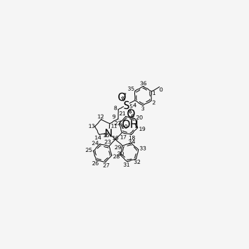 Cc1ccc(S(=O)(=O)C[C@H](O)C2CCCN2C(c2ccccc2)(c2ccccc2)c2ccccc2)cc1